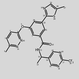 Cc1ccc(Oc2cc(C(=O)NC(C)c3cnc(C(F)(F)F)nc3)cc(-c3ncc(C)s3)c2)nn1